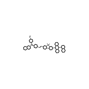 CC1(C)c2cc(/C=C/c3ccc(N(c4ccc(F)cc4)c4ccc5ccccc5c4)cc3)ccc2-c2ccc(-c3c4ccccc4c(-c4cccc5ccccc45)c4ccccc34)cc21